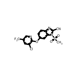 CS(=O)(=O)n1c(C#N)nc2ccc(Oc3ncc(C(F)(F)F)cc3Cl)cc21